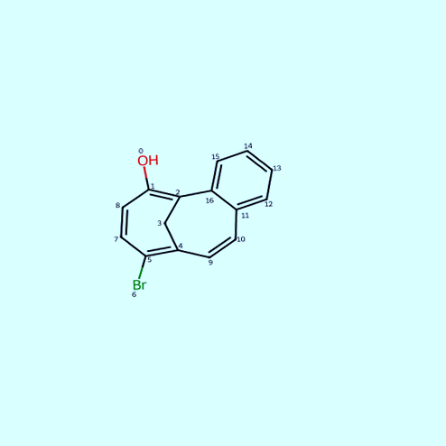 OC1=C2CC(=C(Br)C=C1)C=Cc1ccccc12